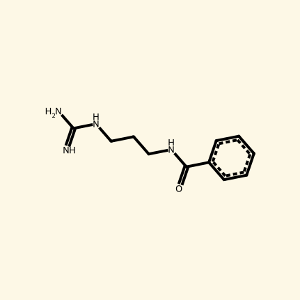 N=C(N)NCCCNC(=O)c1ccccc1